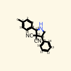 Cc1ccc(C2NCC(c3ccccc3)C2(C#N)C#N)cc1